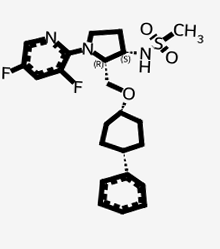 CS(=O)(=O)N[C@H]1CCN(c2ncc(F)cc2F)[C@H]1CO[C@H]1CC[C@@H](c2ccccc2)CC1